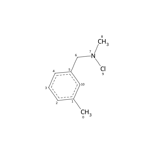 Cc1cccc(CN(C)Cl)c1